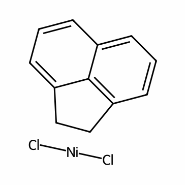 [Cl][Ni][Cl].c1cc2c3c(cccc3c1)CC2